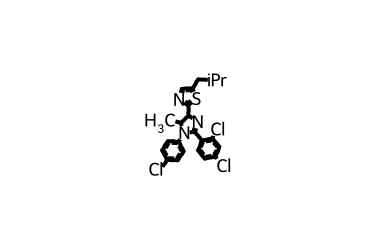 CC(C)Cc1cnc(C2N=C(c3ccc(Cl)cc3Cl)N(c3ccc(Cl)cc3)C2C)s1